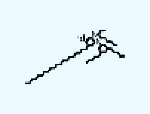 CCCCCCCCCCCCCCCCCCCCc1ccc(N=C(CC)C(CCCCC)=Nc2cc(CCCCC)cc(CCCCC)c2)cc1.[Pd]